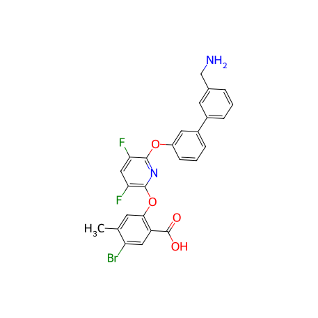 Cc1cc(Oc2nc(Oc3cccc(-c4cccc(CN)c4)c3)c(F)cc2F)c(C(=O)O)cc1Br